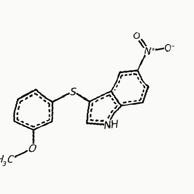 COc1cccc(Sc2c[nH]c3ccc([N+](=O)[O-])cc23)c1